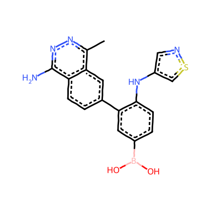 Cc1nnc(N)c2ccc(-c3cc(B(O)O)ccc3Nc3cnsc3)cc12